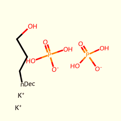 CCCCCCCCCCCCCO.O=P([O-])(O)O.O=P([O-])(O)O.[K+].[K+]